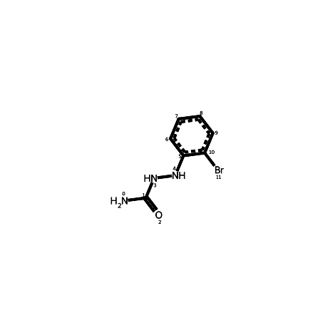 NC(=O)NNc1ccccc1Br